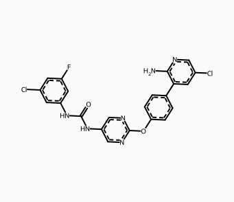 Nc1ncc(Cl)cc1-c1ccc(Oc2ncc(NC(=O)Nc3cc(F)cc(Cl)c3)cn2)cc1